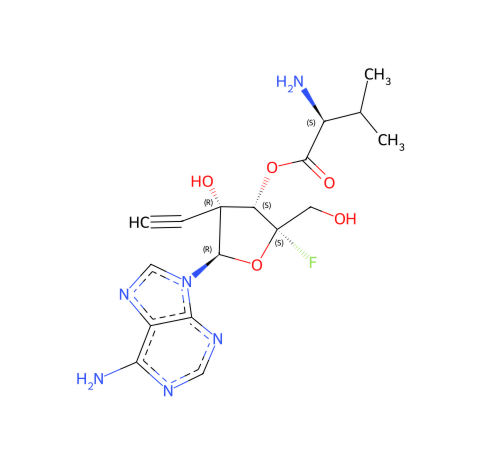 C#C[C@]1(O)[C@H](n2cnc3c(N)ncnc32)O[C@](F)(CO)[C@H]1OC(=O)[C@@H](N)C(C)C